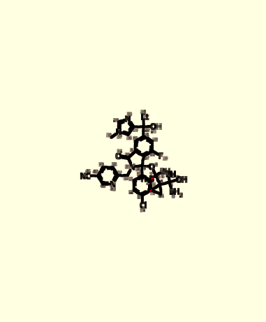 BC(B)(O)C1(C(B)(B)O[C@]2(c3ccc(Cl)cc3)c3c(F)cc(C(O)(CC)c4cn(C)cn4)cc3C(=O)N2Cc2ccc(C#N)cn2)CC1